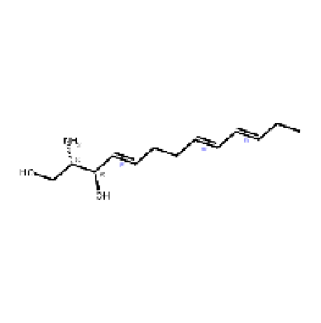 CC/C=C/C=C/CC/C=C/[C@@H](O)[C@@H](N)CO